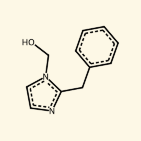 OCn1ccnc1Cc1ccccc1